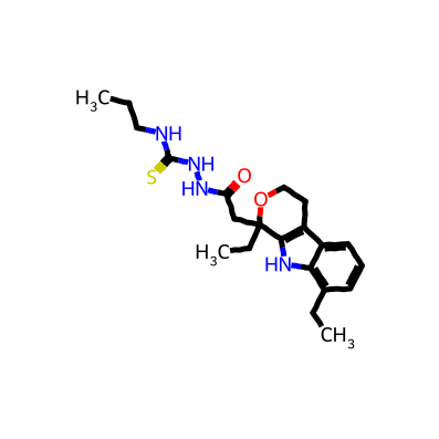 CCCNC(=S)NNC(=O)CC1(CC)OCCc2c1[nH]c1c(CC)cccc21